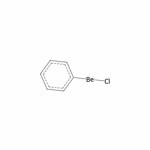 [Cl][Be][c]1ccccc1